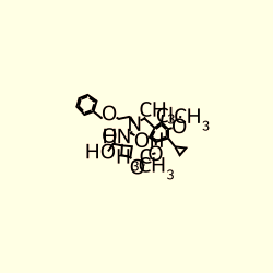 COc1cc([C@@H](C)N(CCOCc2ccccc2)C(O)N[C@]2(C(=O)O)C[C@@H](OC)C2)c(Cl)c(OC)c1C1CC1